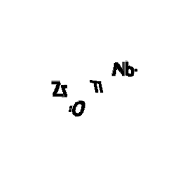 [Nb].[O].[Ti].[Zr]